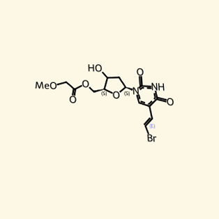 COCC(=O)OC[C@@H]1O[C@H](n2cc(/C=C/Br)c(=O)[nH]c2=O)CC1O